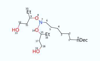 CCCCCCCCCCCCCCCCN(OC(CC)CCO)OC(CC)CCO